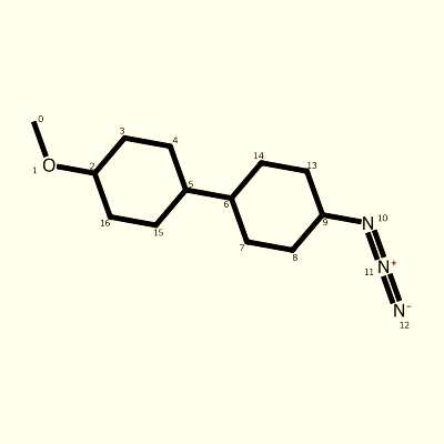 COC1CCC(C2CCC(N=[N+]=[N-])CC2)CC1